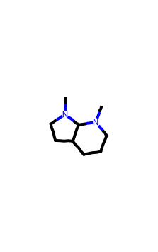 CN1CCCC2CCN(C)C21